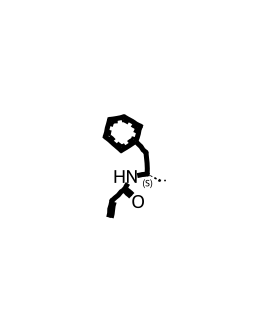 [CH2][C@@H](Cc1ccccc1)NC(=O)C=C